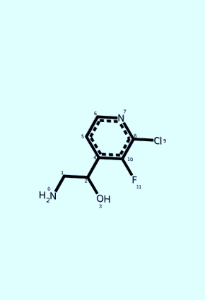 NCC(O)c1ccnc(Cl)c1F